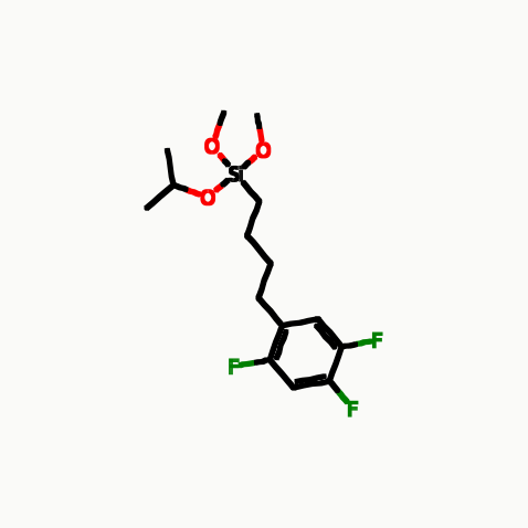 CO[Si](CCCCc1cc(F)c(F)cc1F)(OC)OC(C)C